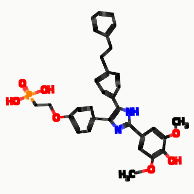 COc1cc(-c2nc(-c3ccc(OCCP(=O)(O)O)cc3)c(-c3ccc(CCc4ccccc4)cc3)[nH]2)cc(OC)c1O